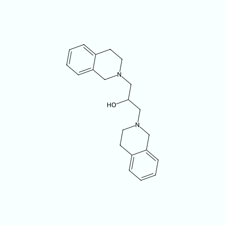 OC(CN1CCc2ccccc2C1)CN1CCc2ccccc2C1